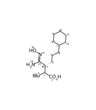 CC(C)(C)C(C(=O)O)[C@@H](CCCC1CCCCC1)C(N)=NO